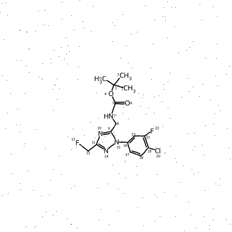 CC(C)(C)OC(=O)NCc1nc(CF)nn1-c1ccc(Cl)c(F)c1